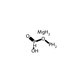 O=[PH](O)OP.[MgH2]